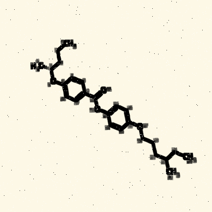 CCC[C@@H](C)Oc1ccc(C(=O)Oc2ccc(OCCCC(C)CC)cc2)cc1